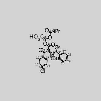 CC(C)C(=O)OC(OC(=O)N(C(=O)c1ccc(Cl)cc1)N(C(=O)c1ccccc1)C(C)(C)C)C(=O)O